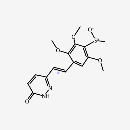 COc1cc(/C=C/c2ccc(=O)[nH]n2)c(OC)c(OC)c1[S+](C)[O-]